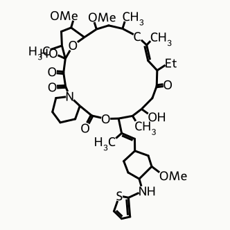 CCC1/C=C(\C)CC(C)CC(OC)C2OC(O)(C(=O)C(=O)N3CCCCC3C(=O)OC(C(C)=CC3CCC(Nc4cccs4)C(OC)C3)C(C)C(O)CC1=O)C(C)CC2OC